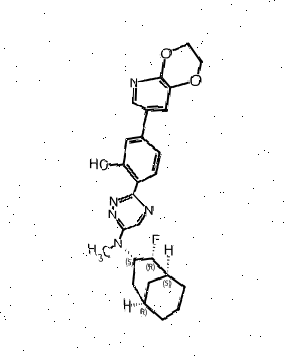 CN(c1cnc(-c2ccc(-c3cnc4c(c3)OCCO4)cc2O)nn1)[C@H]1C[C@@H]2CCC[C@@H](C2)[C@H]1F